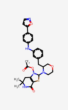 CC1(C)CC2=C(SC(N3CCOCC3Cc3cccc(Nc4ccc(-c5ccno5)cc4)c3)N2OC(=O)C(F)(F)F)C(=O)N1